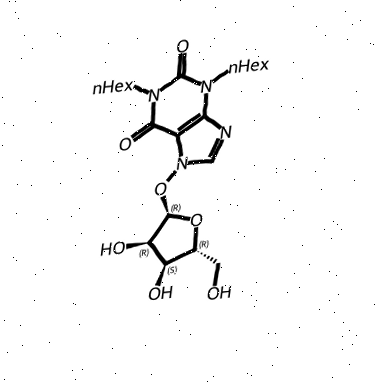 CCCCCCn1c(=O)c2c(ncn2O[C@H]2O[C@H](CO)[C@@H](O)[C@H]2O)n(CCCCCC)c1=O